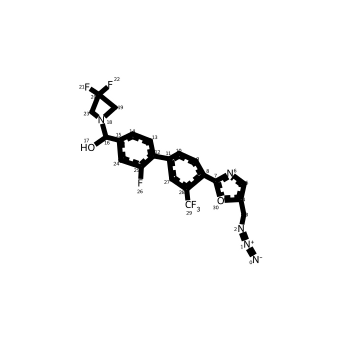 [N-]=[N+]=NCc1cnc(-c2ccc(-c3ccc(C(O)N4CC(F)(F)C4)cc3F)cc2C(F)(F)F)o1